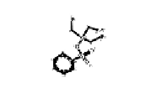 CC(C)C[Si](CC(C)C)(CC(C)C)OS(=O)(=O)c1ccccc1